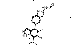 Cc1c(F)c(C(C)C)c2[nH]ncc2c1-c1cn2cc(NC=O)nc2cn1